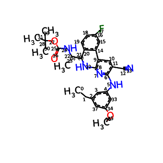 CCc1cc(Nc2nc3c(cc2C#N)-c2cc(F)ccc2[C@H]([C@H](C)NC(=O)OC(C)(C)C)N3)cc(OC)c1